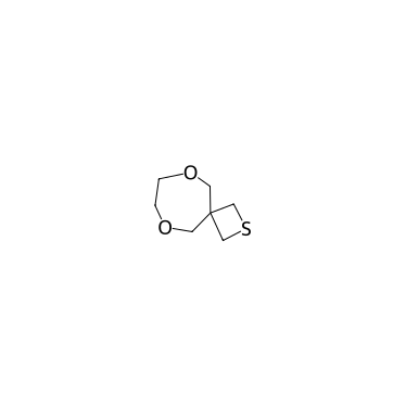 C1COCC2(CO1)CSC2